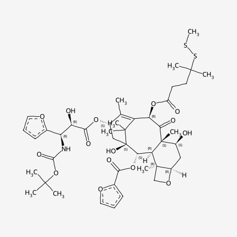 CSSC(C)(C)CCC(=O)O[C@H]1C(=O)[C@@]2(C)[C@H]([C@H](OC(=O)c3ccco3)[C@]3(O)C[C@H](OC(=O)[C@H](O)[C@@H](NC(=O)OC(C)(C)C)c4ccco4)C(C)=C1C3(C)C)[C@]1(C)CO[C@@H]1C[C@@H]2O